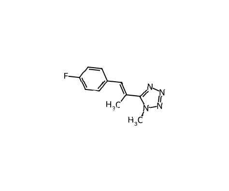 C/C(=C\c1ccc(F)cc1)c1nnnn1C